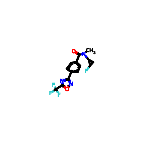 CN(C(=O)c1ccc(-c2noc(C(F)(F)F)n2)cc1)C1CC1F